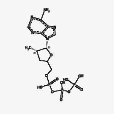 C[C@H]1CC(COP(=O)(O)OP(=O)(O)OP(=O)(O)O)O[C@H]1n1cnc2c(N)ncnc21